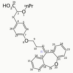 CCCOC(Cc1ccc(OCC/C=C2\c3ccccc3COc3ccccc32)cc1)C(=O)O